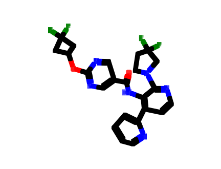 O=C(Nc1c(-c2ccccn2)ccnc1N1CCC(F)(F)C1)c1cnc(OC2CC(F)(F)C2)nc1